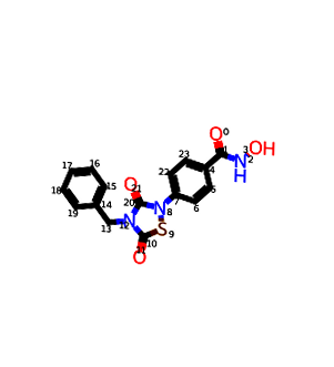 O=C(NO)c1ccc(-n2sc(=O)n(Cc3ccccc3)c2=O)cc1